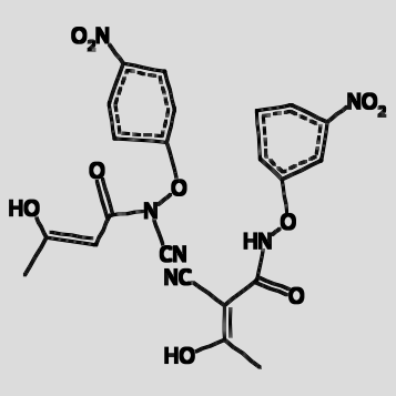 C/C(O)=C(/C#N)C(=O)NOc1cccc([N+](=O)[O-])c1.CC(O)=CC(=O)N(C#N)Oc1ccc([N+](=O)[O-])cc1